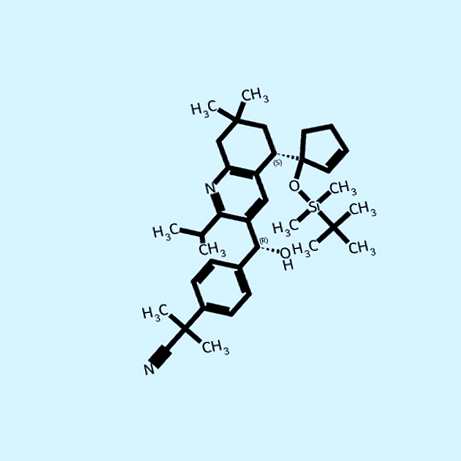 CC(C)c1nc2c(cc1[C@H](O)c1ccc(C(C)(C)C#N)cc1)[C@@H](C1(O[Si](C)(C)C(C)(C)C)C=CCC1)CC(C)(C)C2